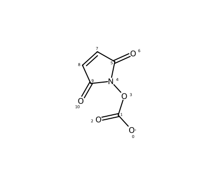 [O]C(=O)ON1C(=O)C=CC1=O